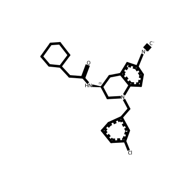 [C-]#[N+]c1ccc2c(c1)C[C@H](NC(=O)CC1CCCCC1)CN2Cc1cccc(Cl)c1